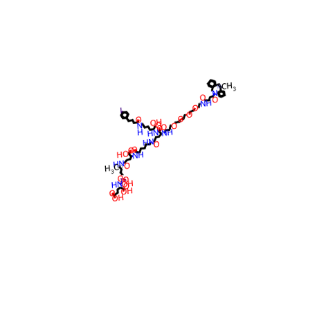 C/C1=C/c2ccccc2CN(C(=O)CCC(=O)NCCOCCOCCOCCOCCC(=O)NC(CCC(=O)NCCCCCC(=O)NC(CCC(=O)N[C@H](C)CCCOP(=O)(O)NC(CCC(=O)O)C(=O)O)C(=O)O)C(=O)NC(CCCCNC(=O)CCCc2ccc(I)cc2)C(=O)O)c2ccccc21